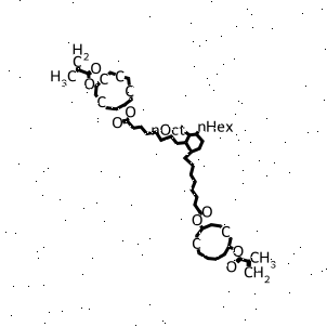 C=C(C)C(=O)OC1CCCCCCC(OC(=O)CCCCCCCC2CCC(CCCCCC)C(CCCCCCCC)C2CCCCCCCC(=O)OC2CCCCCCC(OC(=O)C(=C)C)CCCC2)CCCC1